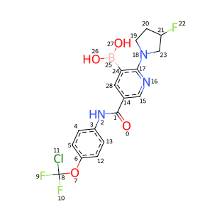 O=C(Nc1ccc(OC(F)(F)Cl)cc1)c1cnc(N2CCC(F)C2)c(B(O)O)c1